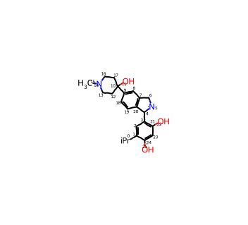 CC(C)c1cc(C2[N]Cc3cc(C4(O)CCN(C)CC4)ccc32)c(O)cc1O